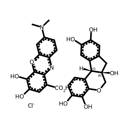 CN(C)c1ccc2nc3c(C(=O)O)cc(O)c(O)c3[o+]c2c1.Oc1cc2c(cc1O)[C@H]1c3ccc(O)c(O)c3OC[C@@]1(O)C2.[Cl-]